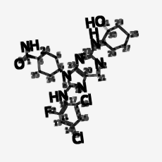 NC(=O)[C@H]1CC[C@@H](n2c(Nc3c(F)cc(Cl)cc3Cl)nc3cnc(N[C@H]4CCCC[C@H]4O)nc32)CC1